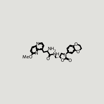 COc1ccc2nccc(C[C@H](N)C(=O)NC[C@@H]3CN(c4ccc5c(c4)OCCO5)C(=O)O3)c2n1